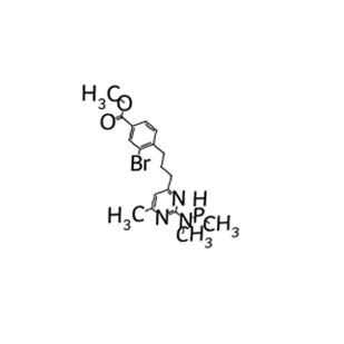 COC(=O)c1ccc(CCCc2cc(C)nc(N(C)PC)n2)c(Br)c1